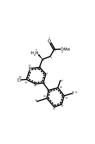 COC(=O)C[C@H](N)c1cc(-c2c(C)ccc(F)c2C)cc(Cl)n1